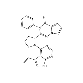 C=Cc1c[nH]c2ncnc(N3CCCC3c3nn4cccc4c(=O)n3-c3ccccc3)c12